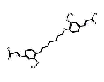 COc1cc(/C=C/C(=O)O)ccc1OCCCCCCOc1ccc(/C=C/C(=O)O)cc1OC